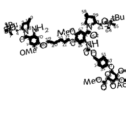 C=C1C[C@@H](CO[Si](C)(C)C(C)(C)C)N(C(=O)c2cc(OC)c(OCCCCCOc3cc(NC(=O)OCc4ccc(O[C@@H]5O[C@H](C(=O)OC)[C@@H](OC(C)=O)[C@H](OC(C)=O)[C@H]5OC(C)=O)cc4)c(C(=O)N4CC(=C)C[C@H]4CO[Si](C)(C)C(C)(C)C)cc3OC)cc2N)C1